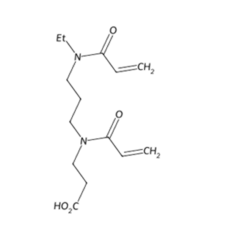 C=CC(=O)N(CC)CCCN(CCC(=O)O)C(=O)C=C